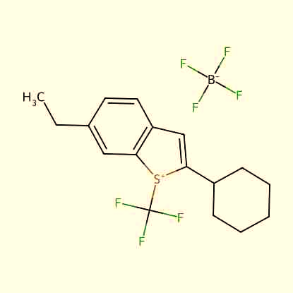 CCc1ccc2cc(C3CCCCC3)[s+](C(F)(F)F)c2c1.F[B-](F)(F)F